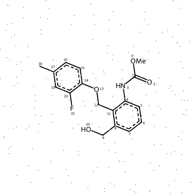 COC(=O)Nc1cccc(CO)c1COc1ccc(C)cc1F